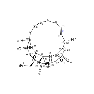 CC(C)C[C@H]1NC(=O)[C@H]2CSSCC/C=C/[C@H](CC(=O)N[C@H](C(C)C)C(=O)N2)OC(=O)CNC1=O